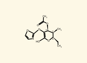 CC[C@H]1OC(O)=C(Oc2ncco2)[C@@H](OC(C)=O)[C@H]1C